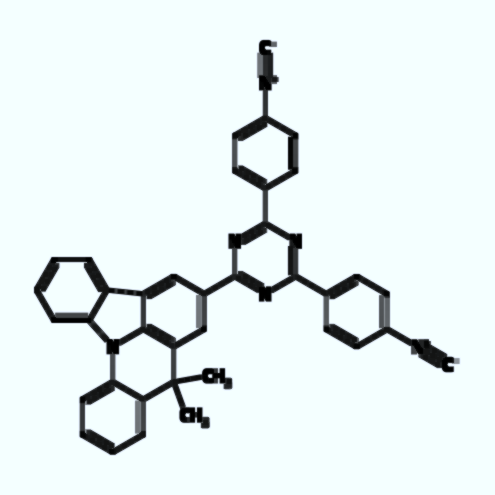 [C-]#[N+]c1ccc(-c2nc(-c3ccc([N+]#[C-])cc3)nc(-c3cc4c5c(c3)c3ccccc3n5-c3ccccc3C4(C)C)n2)cc1